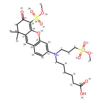 COS(=O)(=O)CCCN(CCCCCC(=O)O)c1ccc2c(c1)OC1=C(S(=O)(=O)OC)C(=O)CC(C)(C)C1=C2